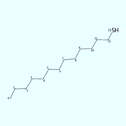 CCCCCCCCCCCC[CH]S